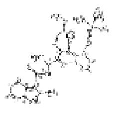 C/C=C\C=C/n1c(C(C)NC(=O)c2c(N)nn3cccnc23)cc2cccc(C#CC(C)(C)C)c2c1=O